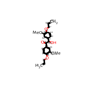 C=CCOc1ccc(C(=O)C(O)c2ccc(OCC=C)c(OC)c2)cc1OC